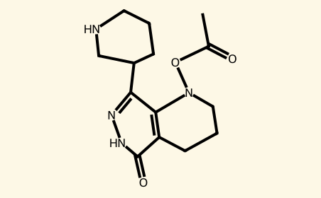 CC(=O)ON1CCCc2c1c(C1CCCNC1)n[nH]c2=O